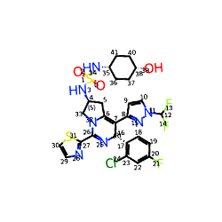 O=S(=O)(N[C@H]1CC2=C(c3ccn(C(F)F)n3)[C@H](c3ccc(F)cc3Cl)N=C(c3nccs3)N2C1)N[C@H]1CC[C@@H](O)CC1